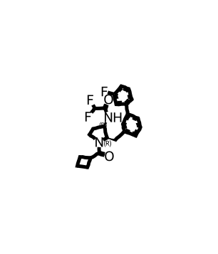 O=C(N[C@@H]1CCN(C(=O)C2CCC2)[C@@H]1Cc1cccc(-c2cccc(F)c2)c1)C(F)F